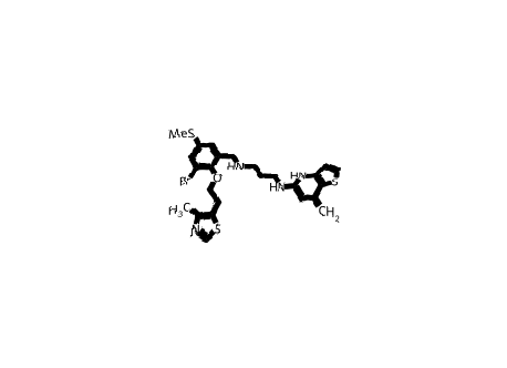 C=C1C=C(NCCCNCc2cc(SC)cc(Br)c2OCCc2scnc2C)Nc2ccsc21